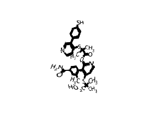 Cc1cc(C(N)=O)ccc1-c1c(SC(C)(C)C(=O)O)ccnc1OC(=O)C(C)(C)Sc1ccncc1-c1ccc(S)cc1